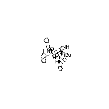 CCC(C)[C@H](NC(=O)C(Cc1c[nH]cn1)NC(=O)[C@H](Cc1cccc2ccccc12)NC(=O)OCc1ccccc1)[C@H](O)C(=O)NCc1ccccc1